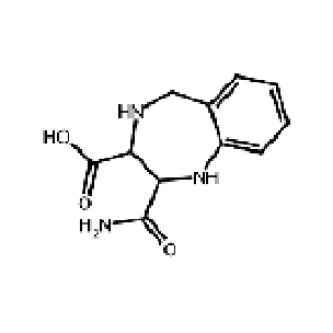 NC(=O)C1Nc2ccccc2CNC1C(=O)O